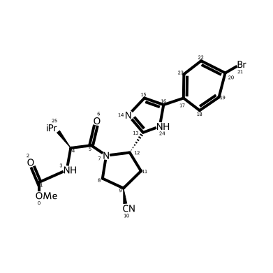 COC(=O)N[C@H](C(=O)N1C[C@H](C#N)C[C@H]1c1ncc(-c2ccc(Br)cc2)[nH]1)C(C)C